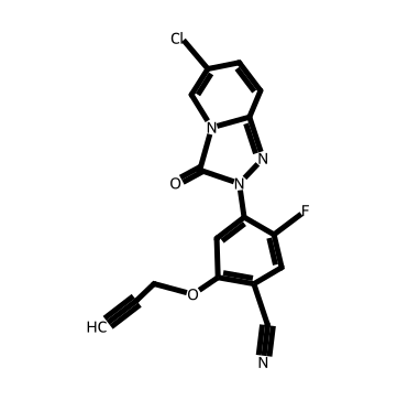 C#CCOc1cc(-n2nc3ccc(Cl)cn3c2=O)c(F)cc1C#N